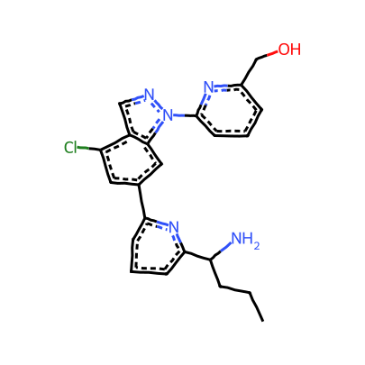 CCCC(N)c1cccc(-c2cc(Cl)c3cnn(-c4cccc(CO)n4)c3c2)n1